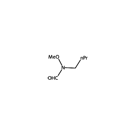 CCCCN([C]=O)OC